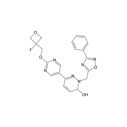 OC1C=CC(c2cnc(OCC3(F)COC3)nc2)=NN1Cc1nc(-c2ccccc2)no1